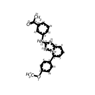 COc1ccc(-c2cccc3nc(Nc4cccc(C(C)=O)c4)nn23)cc1